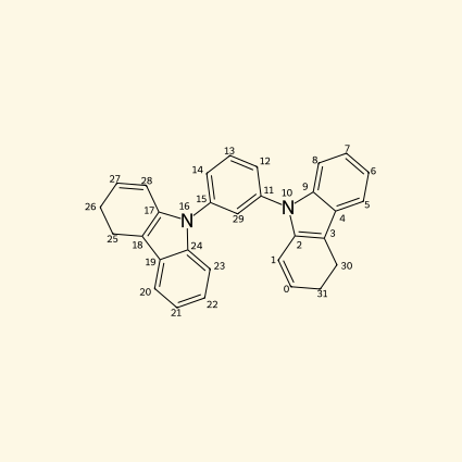 C1=Cc2c(c3ccccc3n2-c2cccc(-n3c4c(c5ccccc53)CCC=C4)c2)CC1